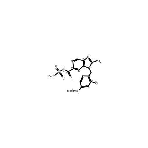 CCCCCCOc1ccc(Cn2c(C)nc3ccc(C(=O)NS(=O)(=O)CCCCC)cc32)c(Cl)c1